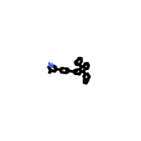 Cc1cncc(-c2ccc(-c3ccc4c(-c5ccccc5)c5ccccc5c(-c5ccccc5)c4c3)cc2)c1